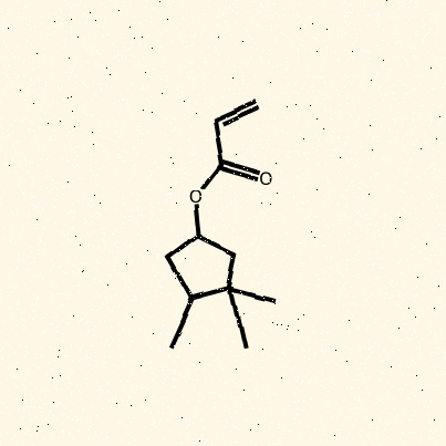 C=CC(=O)OC1CC(C)C(C)(C)C1